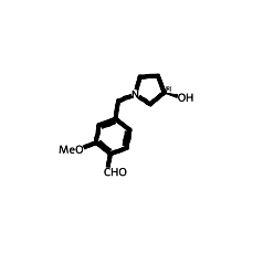 COc1cc(CN2CC[C@@H](O)C2)ccc1C=O